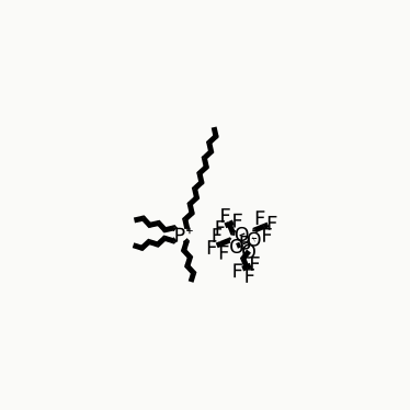 CCCCCCCCCCCCCC[P+](CCCCCC)(CCCCCC)CCCCCC.FC(F)(F)CO[B-](OCC(F)(F)F)(OCC(F)(F)F)OCC(F)(F)F